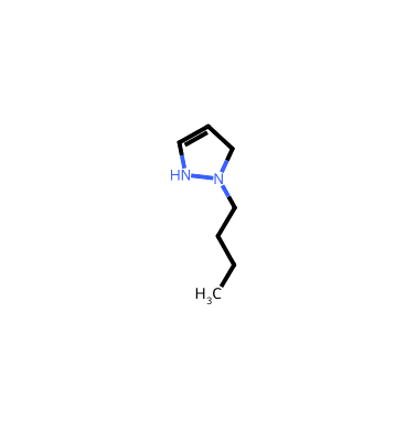 CCCCN1CC=CN1